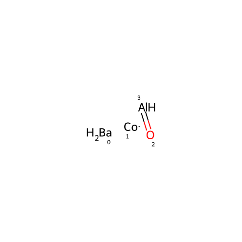 [BaH2].[Co].[O]=[AlH]